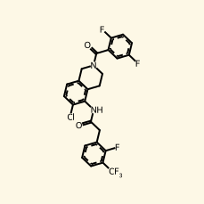 O=C(Cc1cccc(C(F)(F)F)c1F)Nc1c(Cl)ccc2c1CCN(C(=O)c1cc(F)ccc1F)C2